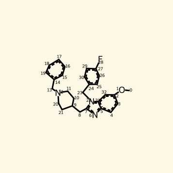 COc1ccc2nc(CC3CCN(Cc4ccccc4)CC3)n(Cc3ccc(F)cc3)c2c1